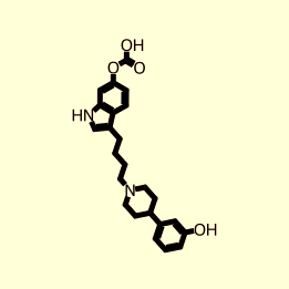 O=C(O)Oc1ccc2c(CCCCN3CCC(c4cccc(O)c4)CC3)c[nH]c2c1